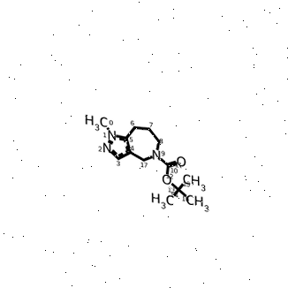 Cn1ncc2c1CCCN(C(=O)OC(C)(C)C)C2